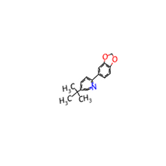 CC(C)(C)c1ccc(-c2ccc3c(c2)OCO3)nc1